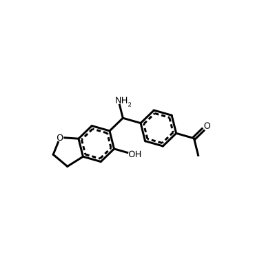 CC(=O)c1ccc(C(N)c2cc3c(cc2O)CCO3)cc1